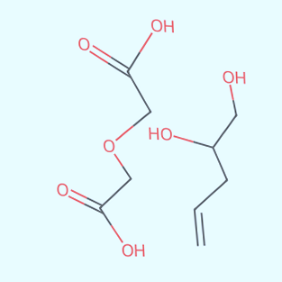 C=CCC(O)CO.O=C(O)COCC(=O)O